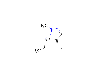 C=c1cnn(C)/c1=C/CC